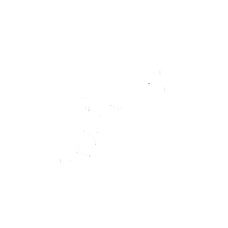 CCN(CC=CC#CC(C)(C)O)Cc1cccc(O)c1